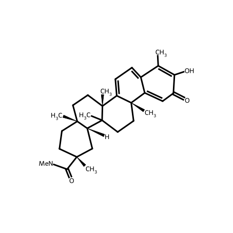 CNC(=O)[C@]1(C)CC[C@]2(C)CC[C@]3(C)C4=CC=C5C(=CC(=O)C(O)=C5C)[C@]4(C)CCC3(C)[C@@H]2C1